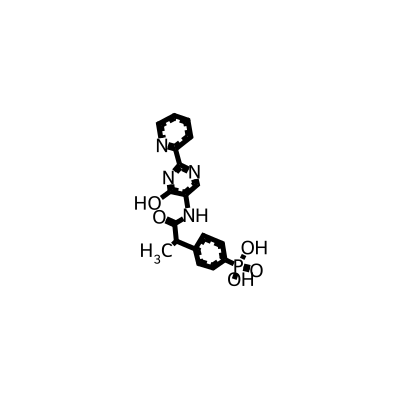 CC(C(=O)Nc1cnc(-c2ccccn2)nc1O)c1ccc(P(=O)(O)O)cc1